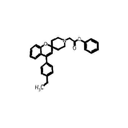 CCc1ccc(C2=CC3(CCN(CC(=O)Oc4ccccc4)CC3)Oc3ccccc32)cc1